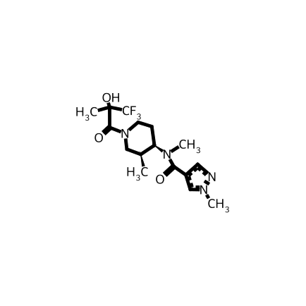 C[C@H]1CN(C(=O)C(C)(O)C(F)(F)F)CC[C@H]1N(C)C(=O)c1cnn(C)c1